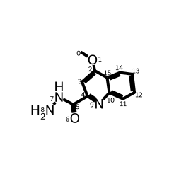 COc1cc(C(=O)NN)nc2ccccc12